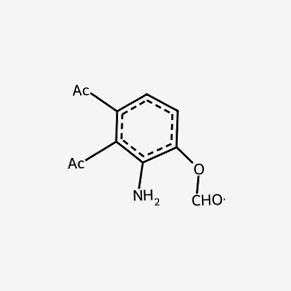 CC(=O)c1ccc(O[C]=O)c(N)c1C(C)=O